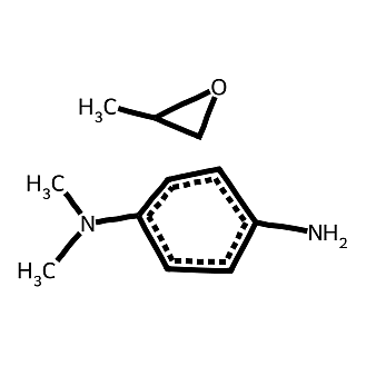 CC1CO1.CN(C)c1ccc(N)cc1